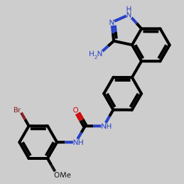 COc1ccc(Br)cc1NC(=O)Nc1ccc(-c2cccc3[nH]nc(N)c23)cc1